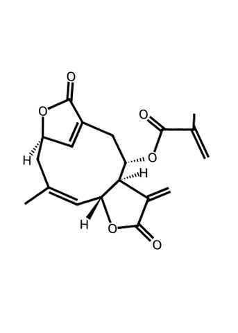 C=C(C)C(=O)O[C@H]1CC2=C[C@@H](C/C(C)=C\[C@H]3OC(=O)C(=C)[C@H]13)OC2=O